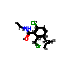 CCNC(=O)c1c(Cl)ccc([SiH](C)C)c1CBr